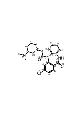 CN(C)C1CCCN(CC(=O)N2c3cc(Cl)ccc3C(=O)Nc3cccnc32)C1